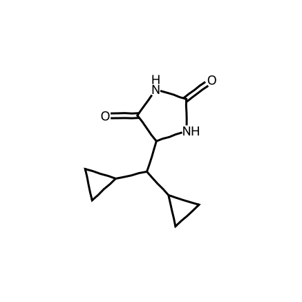 O=C1NC(=O)C(C(C2CC2)C2CC2)N1